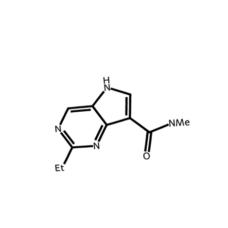 CCc1ncc2[nH]cc(C(=O)NC)c2n1